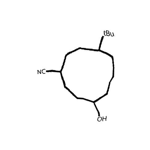 CC(C)(C)C1CCCC(O)CCC(C#N)CC1